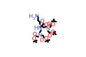 CC(C)(C)OC(=O)CN(CCN[C@](CCCCN)(CCN(CC(=O)OC(C)(C)C)CC(=O)OC(C)(C)C)C(=O)O)CC(=O)OC(C)(C)C